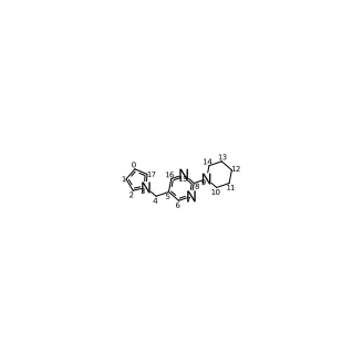 c1ccn(Cc2cnc(N3CCCCC3)nc2)c1